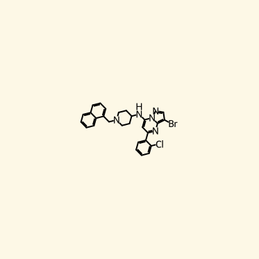 Clc1ccccc1-c1cc(NC2CCN(Cc3cccc4ccccc34)CC2)n2ncc(Br)c2n1